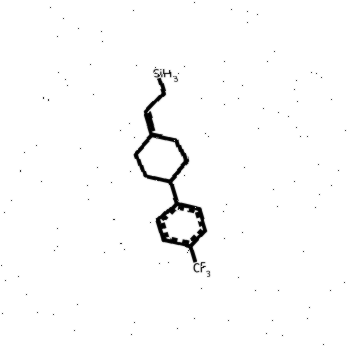 FC(F)(F)c1ccc(C2CCC(=CC[SiH3])CC2)cc1